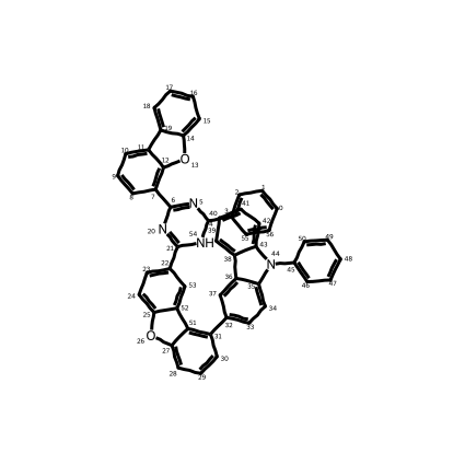 c1ccc(C2N=C(c3cccc4c3oc3ccccc34)N=C(c3ccc4oc5cccc(-c6ccc7c(c6)c6ccccc6n7-c6ccccc6)c5c4c3)N2)cc1